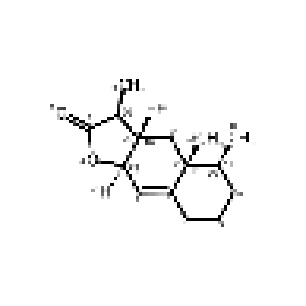 C[C@@H]1C(=O)O[C@@H]2C=C3CCC[C@H](C)[C@@]3(C)C[C@@H]12